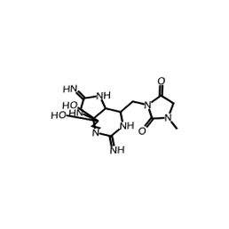 CN1CC(=O)N(CC2NC(=N)N3CCC(O)(O)C34NC(=N)NC24)C1=O